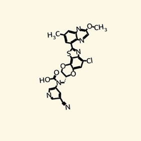 COc1cnc2c(-c3nc4c(Cl)cc5c(c4s3)OC[C@@H](CN(C(=O)O)c3cncc(C#N)c3)O5)cc(C)cc2n1